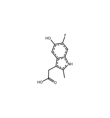 Cc1[nH]c2cc(F)c(O)cc2c1CC(=O)O